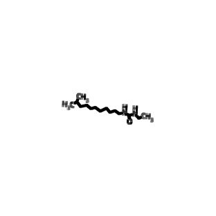 CCNC(=O)NCCCCCCCCCC(C)C